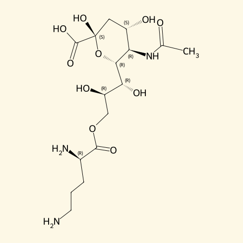 CC(=O)N[C@H]1[C@H]([C@H](O)[C@H](O)COC(=O)[C@H](N)CCCN)O[C@](O)(C(=O)O)C[C@@H]1O